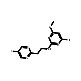 COc1cc(Cl)nc(NCCc2ncc(F)cn2)n1